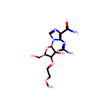 COCCOC1C(O)[C@H](n2cnc(C(N)=O)c2/N=C(\C)N)O[C@@H]1CO